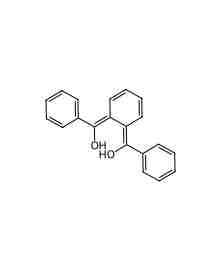 OC(c1ccccc1)=c1ccccc1=C(O)c1ccccc1